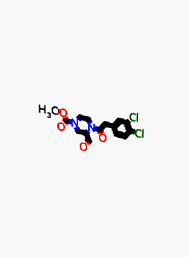 COC(=O)N1CCN(C(=O)Cc2ccc(Cl)c(Cl)c2)C(C=O)C1